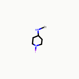 CCNC1CCN(I)CC1